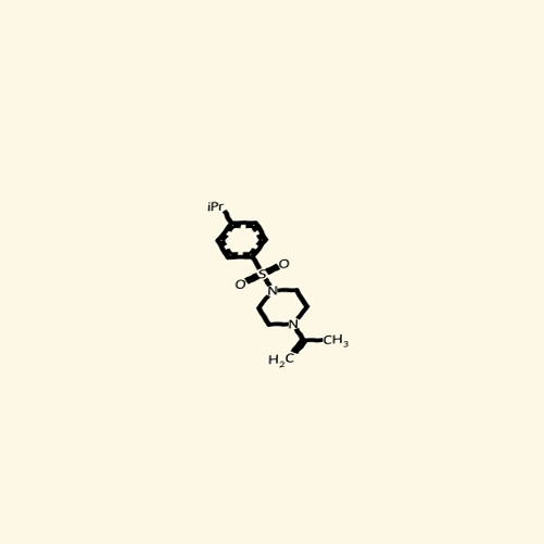 C=C(C)N1CCN(S(=O)(=O)c2ccc(C(C)C)cc2)CC1